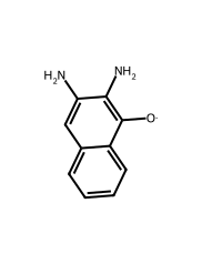 Nc1cc2ccccc2c([O])c1N